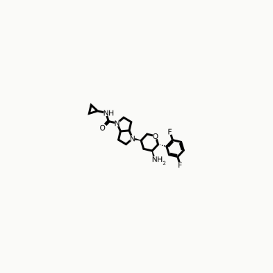 N[C@H]1C[C@@H](N2CCC3C2CCN3C(=O)NC2CC2)CO[C@@H]1c1cc(F)ccc1F